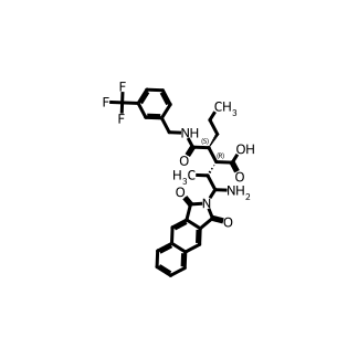 CCC[C@H](C(=O)NCc1cccc(C(F)(F)F)c1)[C@H](C(=O)O)C(C)C(N)N1C(=O)c2cc3ccccc3cc2C1=O